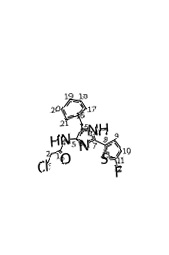 O=C(CCl)Nc1nc(-c2ccc(F)s2)[nH]c1-c1ccccc1